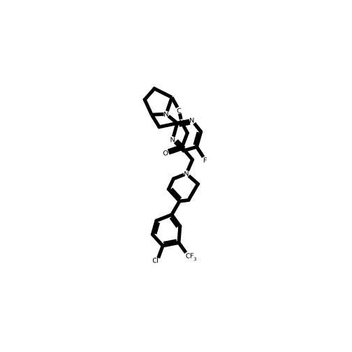 O=C(CN1CC=C(c2ccc(Cl)c(C(F)(F)F)c2)CC1)CN1CC2CCC(C1)N2c1ncc(F)cn1